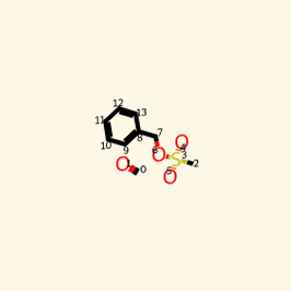 C=O.CS(=O)(=O)OCc1ccccc1